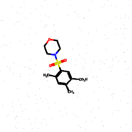 Cc1cc(C)c(S(=O)(=O)N2CCOCC2)cc1C(=O)O